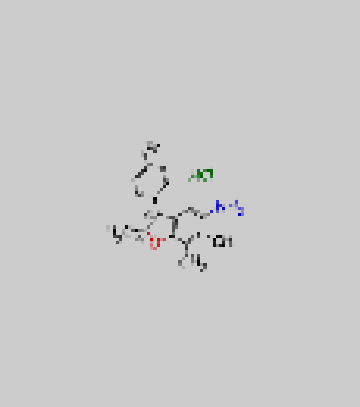 Cc1c(N)cc2c(c1C)O[C@@H](C)[C@H]2c1ccc(C(C)C)cc1.Cl